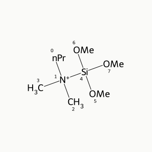 CCC[N+](C)(C)[Si](OC)(OC)OC